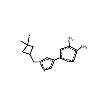 Nc1ccc(-c2cnn(CC3CC(F)(F)C3)c2)cc1N